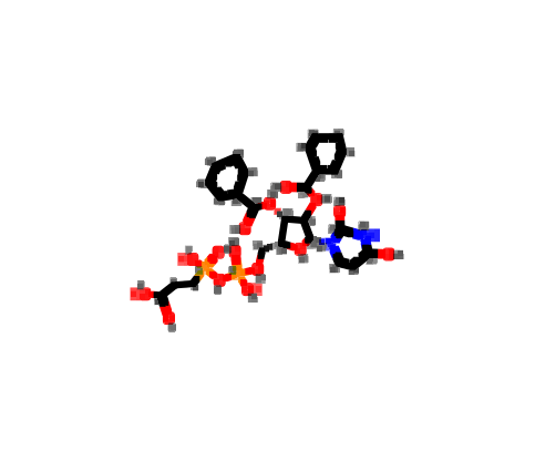 O=C(O)CCP(=O)(O)OP(=O)(O)OC[C@H]1O[C@@H](n2ccc(=O)[nH]c2=O)C(OC(=O)c2ccccc2)[C@H]1OC(=O)c1ccccc1